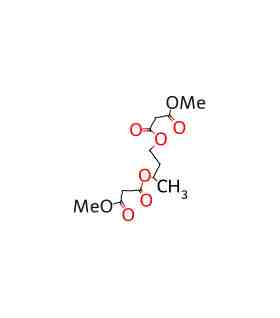 COC(=O)CC(=O)OCCC(C)OC(=O)CC(=O)OC